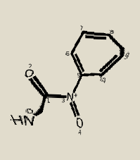 [NH]C(=O)[N+](=O)c1ccccc1